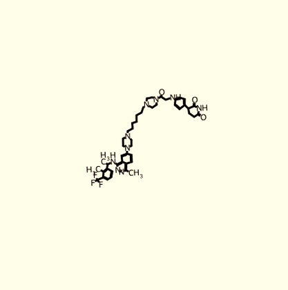 Cc1c(C(C)Nc2nnc(C)c3ccc(N4CCN(CCCCCCCN5CCN(C(=O)CNc6ccc(C7CCC(=O)NC7=O)cc6)CC5)CC4)cc23)cccc1C(F)(F)F